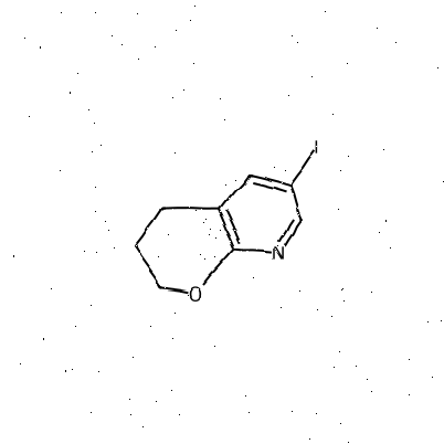 Ic1cnc2c(c1)CCCO2